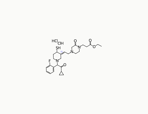 CCOC(=O)CCN1CCN(C/C=C2\CN(C(C(=O)C3CC3)c3ccccc3F)CCC2S)CC1=O.Cl.Cl